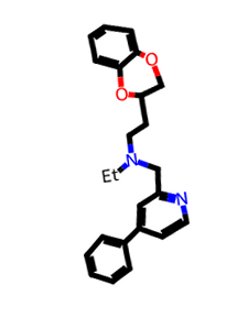 CCN(CCC1COc2ccccc2O1)Cc1cc(-c2ccccc2)ccn1